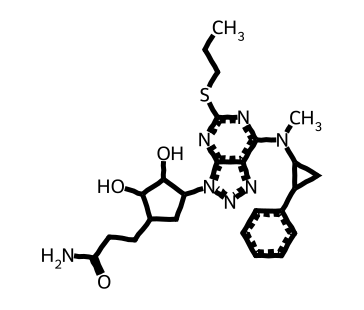 CCCSc1nc(N(C)C2CC2c2ccccc2)c2nnn(C3CC(CCC(N)=O)C(O)C3O)c2n1